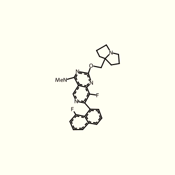 CNc1nc(OCC23CCCN2CCC3)nc2c(F)c(-c3cccc4cccc(F)c34)ncc12